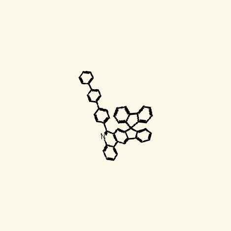 c1ccc(-c2ccc(-c3ccc(-c4nc5ccccc5c5cc6c(cc45)C4(c5ccccc5-c5ccccc54)c4ccccc4-6)cc3)cc2)cc1